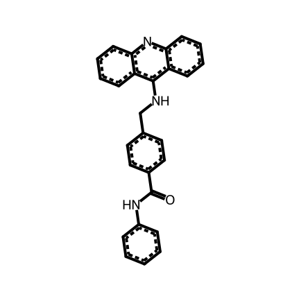 O=C(Nc1ccccc1)c1ccc(CNc2c3ccccc3nc3ccccc23)cc1